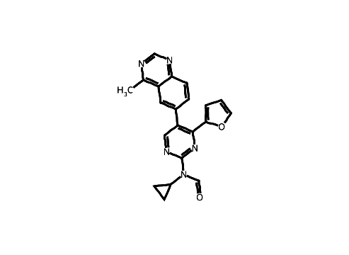 Cc1ncnc2ccc(-c3cnc(N(C=O)C4CC4)nc3-c3ccco3)cc12